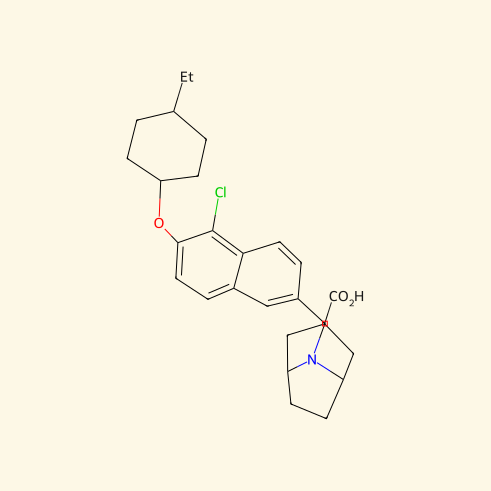 CCC1CCC(Oc2ccc3cc(CN4C5CCC4CC(C(=O)O)C5)ccc3c2Cl)CC1